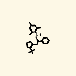 Cc1cc(C)c(NN=C(CC2=C(C(C)(C)C)C=CC2)c2ccccc2)c(C)c1